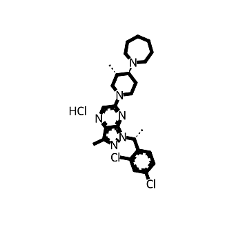 Cc1nn([C@H](C)c2ccc(Cl)cc2Cl)c2nc(N3CC[C@@H](N4CCCCCC4)[C@@H](C)C3)cnc12.Cl